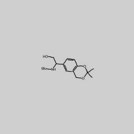 CC(C)(C)NC(CO)c1ccc2c(c1)COC(C)(C)O2